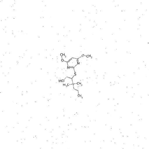 CCCC(C)(C)C(CO)Sc1nc(OC)cc(OC)n1